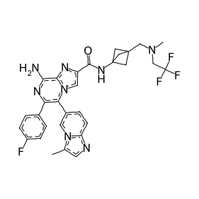 Cc1cnc2ccc(-c3c(-c4ccc(F)cc4)nc(N)c4nc(C(=O)NC56CC(CN(C)CC(F)(F)F)(C5)C6)cn34)cn12